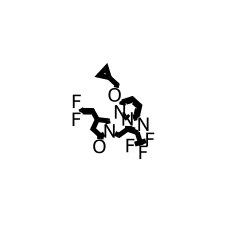 O=C1CC(C=C(F)F)CN1Cc1c(C(F)(F)F)nc2ccc(OCC3CC3)nn12